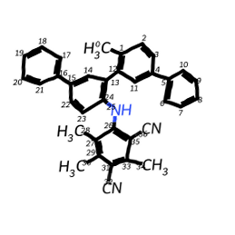 Cc1ccc(-c2ccccc2)cc1-c1cc(-c2ccccc2)ccc1Nc1c(C)c(C)c(C#N)c(C)c1C#N